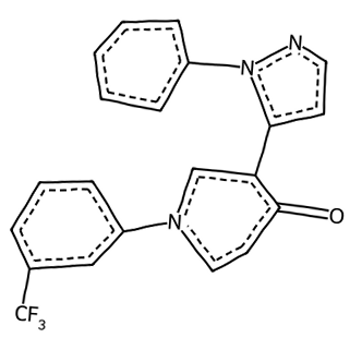 O=c1ccn(-c2cccc(C(F)(F)F)c2)cc1-c1ccnn1-c1ccccc1